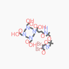 CN(CC(C)(C)COCC(C)(C)NC(=O)CCC(C(=O)O)N1CCN(CC(=O)O)CCN(CC(=O)O)CCN(CC(=O)O)CC1)C(=O)/C(Br)=C(/Br)C=O